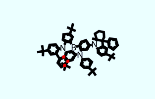 CC(C)(C)c1ccc(N2c3cc(N4c5ccc(C(C)(C)C)cc5C5(c6ccccc6)CCCCC45C)ccc3B3c4cc(C(C)(C)C)ccc4N(c4ccc(C(C)(C)C)cc4-c4ccccc4)c4cc(C(C)(C)C)cc2c43)cc1